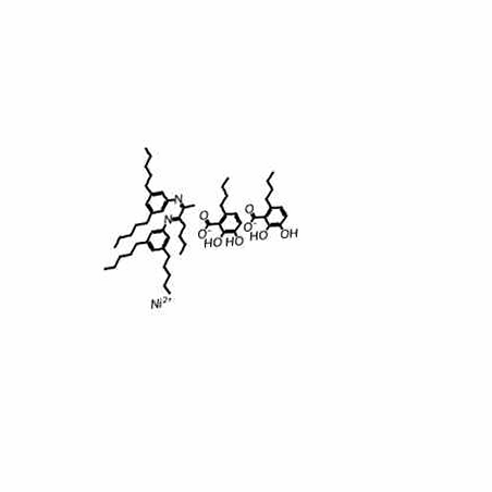 CCCCCc1cc(CCCCC)cc(N=C(C)C(CCCC)=Nc2cc(CCCCC)cc(CCCCC)c2)c1.CCCCc1ccc(O)c(O)c1C(=O)[O-].CCCCc1ccc(O)c(O)c1C(=O)[O-].[Ni+2]